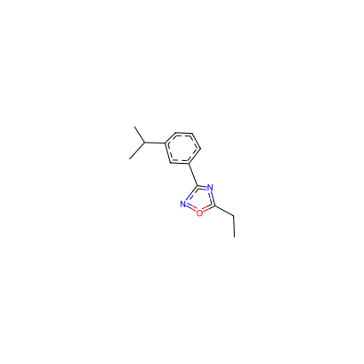 CCc1nc(-c2cccc(C(C)C)c2)no1